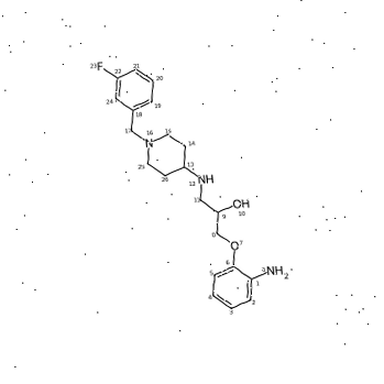 Nc1ccccc1OCC(O)CNC1CCN(Cc2cccc(F)c2)CC1